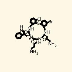 CN1C(=O)[C@H](CCCCN)NC(=O)[C@H](CCCN)NCc2cc(Br)ccc2Sc2c(Cl)cccc2CNC(=O)[C@@H]1Cc1c[nH]c2ccccc12